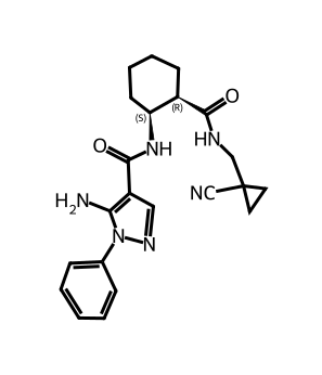 N#CC1(CNC(=O)[C@@H]2CCCC[C@@H]2NC(=O)c2cnn(-c3ccccc3)c2N)CC1